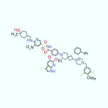 CCOc1nc2[nH]cc(F)c2cc1Oc1cc(N2CCC3(CC2)CC(N2CCN(Cc4cc(F)c(OC)c(F)c4)C[C@H]2c2ccccc2C(C)C)C3)ccc1C(=O)NS(=O)(=O)c1cnc(NCC2CCC(C)(O)CC2)c([N+](=O)[O-])c1